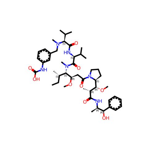 CC[C@H](C)[C@@H]([C@@H](CC(=O)N1CCC[C@H]1[C@H](OC)[C@@H](C)C(=O)N[C@H](C)[C@H](O)c1ccccc1)OC)N(C)C(=O)[C@@H](NC(=O)[C@H](C(C)C)N(C)Cc1cccc(NC(=O)O)c1)C(C)C